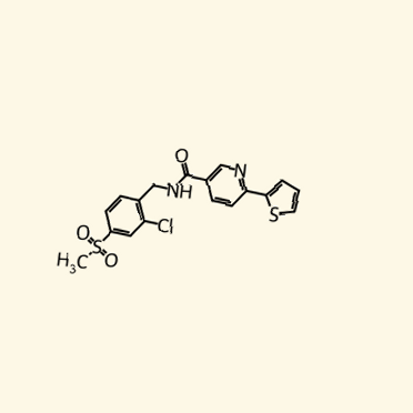 CS(=O)(=O)c1ccc(CNC(=O)c2ccc(-c3cccs3)nc2)c(Cl)c1